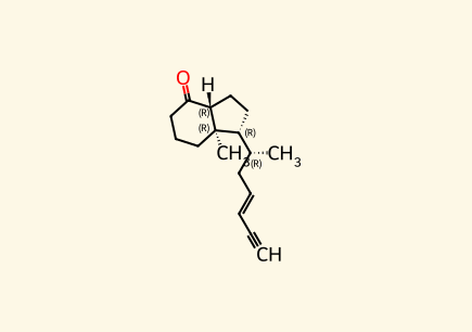 C#CC=CC[C@@H](C)[C@H]1CC[C@H]2C(=O)CCC[C@]12C